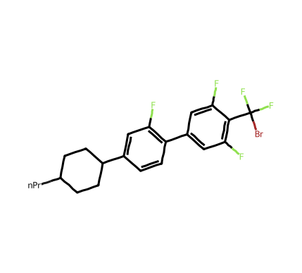 CCCC1CCC(c2ccc(-c3cc(F)c(C(F)(F)Br)c(F)c3)c(F)c2)CC1